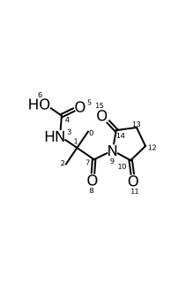 CC(C)(NC(=O)O)C(=O)N1C(=O)CCC1=O